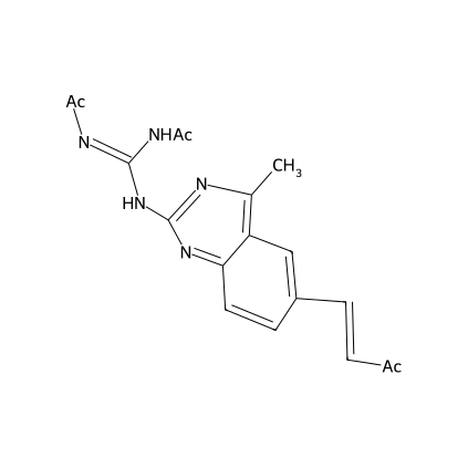 CC(=O)/C=C/c1ccc2nc(N/C(=N/C(C)=O)NC(C)=O)nc(C)c2c1